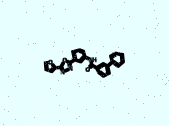 O=C(Nc1cccc(-c2nnc(-c3ccco3)o2)c1)c1cccc(-c2ccccc2)c1